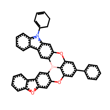 C1=CCCC(n2c3ccccc3c3cc4c(cc32)Oc2cc(-c3ccccc3)cc3c2B4c2cc4c(cc2O3)oc2ccccc24)=C1